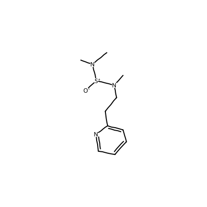 CN(C)[S+]([O-])N(C)CCc1ccccn1